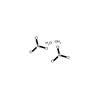 O.O.[Cl][Al]([Cl])[Cl].[Cl][Al]([Cl])[Cl]